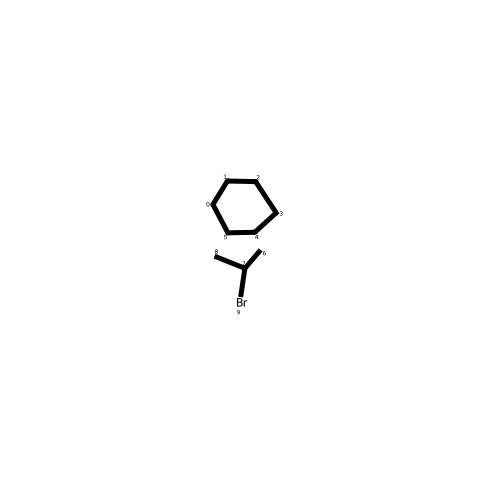 C1CCCCC1.CC(C)Br